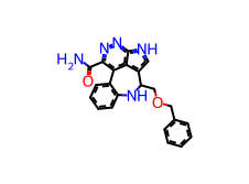 NC(=O)c1nnc2[nH]cc3c2c1-c1ccccc1NC3COCc1ccccc1